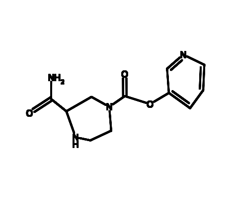 NC(=O)C1CN(C(=O)Oc2cccnc2)CCN1